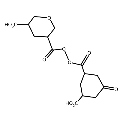 O=C1CC(C(=O)O)CC(C(=O)OOC(=O)C2COCC(C(=O)O)C2)C1